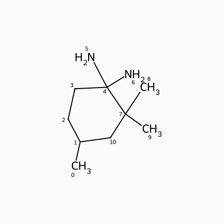 CC1CCC(N)(N)C(C)(C)C1